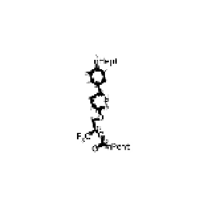 CCCCCCCc1ccc(-c2ccc(OCC(OC(=O)CCCCC)C(F)(F)F)nn2)cc1